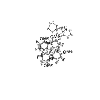 CC1([NH2+]C2(C)CCCCC2)CCCCC1.COc1c(F)c(F)c(F)c([B-](c2c(F)c(F)c(F)c(OC)c2F)(c2c(F)c(F)c(F)c(OC)c2F)c2c(F)c(F)c(F)c(OC)c2F)c1F